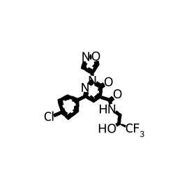 O=C(NC[C@H](O)C(F)(F)F)c1cc(-c2ccc(Cl)cc2)nn(-c2cnoc2)c1=O